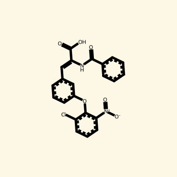 O=C(O)C(=Cc1cccc(Oc2c(Cl)cccc2[N+](=O)[O-])c1)NC(=O)c1ccccc1